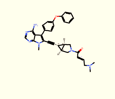 CN(C)C/C=C/C(=O)N1C[C@@H]2[C@@H](C#Cc3c(-c4ccc(Oc5ccccc5)cc4)c4c(N)ncnc4n3C)[C@@H]2C1